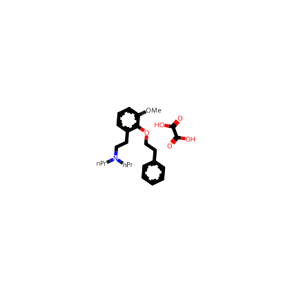 CCCN(CCC)CCc1cccc(OC)c1OCCc1ccccc1.O=C(O)C(=O)O